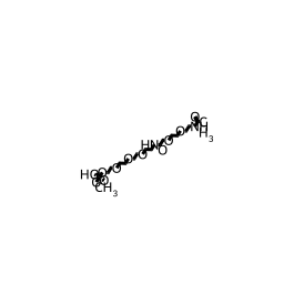 COP(=O)(O)OCCOCCOCCOCCNC(=O)COCCOCCNC(C)=O